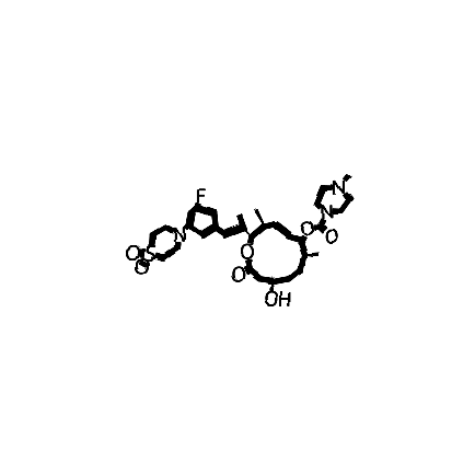 C/C(=C\c1cc(F)cc(N2CCS(=O)(=O)CC2)c1)[C@H]1OC(=O)C[C@H](O)CC[C@H](C)C(OC(=O)N2CCN(C)CC2)/C=C/[C@@H]1C